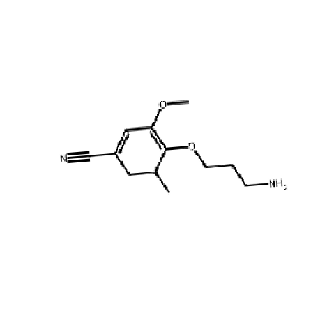 COC1=C(OCCCN)C(C)CC(C#N)=C1